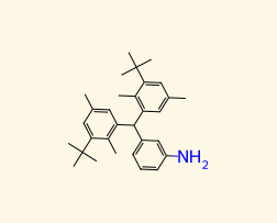 Cc1cc(C(c2cccc(N)c2)c2cc(C)cc(C(C)(C)C)c2C)c(C)c(C(C)(C)C)c1